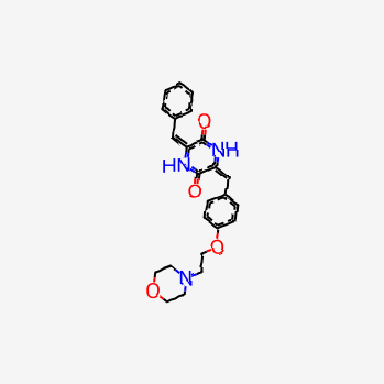 O=c1[nH]c(=Cc2ccc(OCCN3CCOCC3)cc2)c(=O)[nH]c1=Cc1ccccc1